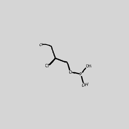 OP(O)OCC(Cl)CCl